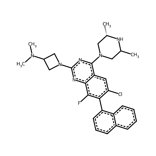 CC1CN(c2nc(N3CC(N(C)C)C3)nc3c(F)c(-c4cccc5ccccc45)c(Cl)cc23)C[C@H](C)N1